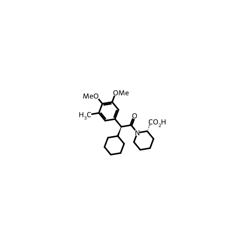 COc1cc([C@@H](C(=O)N2CCCC[C@H]2C(=O)O)C2CCCCC2)cc(C)c1OC